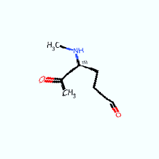 CN[C@@H](CCC=O)C(C)=O